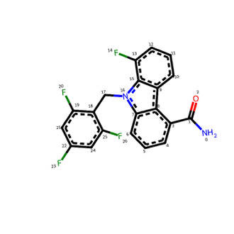 NC(=O)c1cccc2c1c1[c]ccc(F)c1n2Cc1c(F)cc(F)cc1F